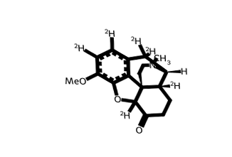 [2H]c1c([2H])c2c3c(c1OC)OC1([2H])C(=O)CC[C@@]4([2H])[C@H](N(C)CC[C@]314)C2([2H])[2H]